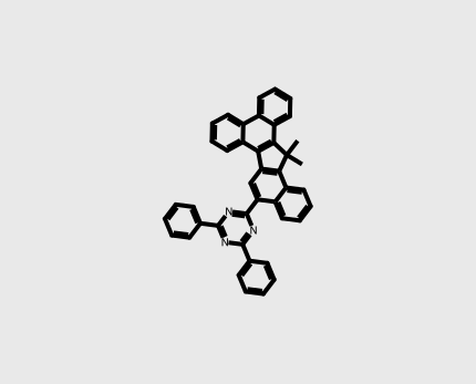 CC1(C)c2c(cc(-c3nc(-c4ccccc4)nc(-c4ccccc4)n3)c3ccccc23)-c2c1c1ccccc1c1ccccc21